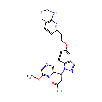 COc1cncc(C(CC(=O)O)n2ncc3cc(OCCc4ccc5c(n4)NCCC5)ccc32)n1